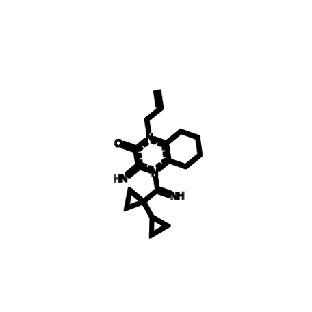 C=CCn1c2c(n(C(=N)C3(C4CC4)CC3)c(=N)c1=O)CCCC2